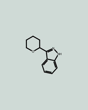 c1ccc2c(C3CCCCO3)n[nH]c2c1